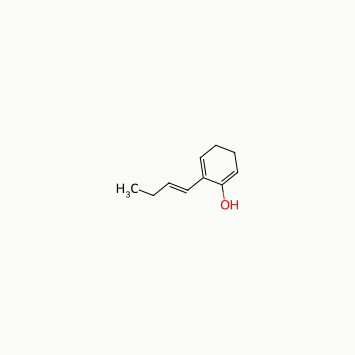 CC/C=C/C1=CCCC=C1O